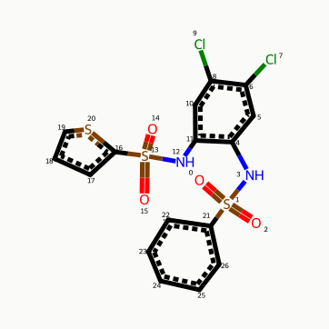 O=S(=O)(Nc1cc(Cl)c(Cl)cc1NS(=O)(=O)c1cccs1)c1[c]cccc1